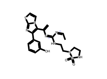 C=C(/N=C(\N=C/C)NCCN1CCNS1(=O)=O)c1c(-c2cccc(O)c2)nc2sccn12